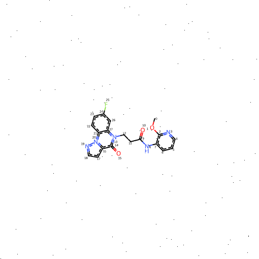 COc1ncccc1NC(=O)CCn1c(=O)c2ccnn2c2ccc(F)cc21